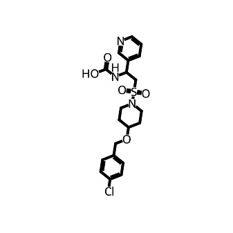 O=C(O)NC(CS(=O)(=O)N1CCC(OCc2ccc(Cl)cc2)CC1)c1cccnc1